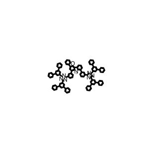 Cn1c2c(-c3cccc(-c4nc(-c5cc(-c6ccccc6)cc(-c6ccccc6)c5)nc(-c5cc(-c6ccccc6)cc(-c6ccccc6)c5)n4)c3)cccc2c2c3oc4ccccc4c3cc(-c3cccc(-c4nc(-c5cc(-c6ccccc6)cc(-c6ccccc6)c5)nc(-c5cc(-c6ccccc6)cc(-c6ccccc6)c5)n4)c3)c21